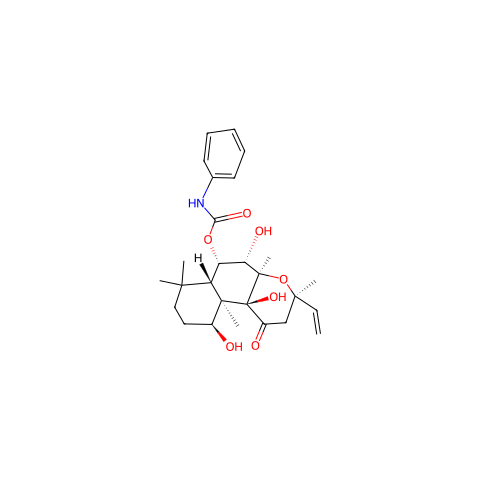 C=C[C@@]1(C)CC(=O)[C@]2(O)[C@@]3(C)[C@@H](O)CCC(C)(C)[C@@H]3[C@H](OC(=O)Nc3ccccc3)[C@H](O)[C@@]2(C)O1